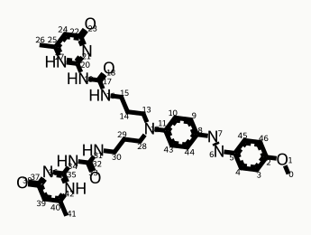 COc1ccc(/N=N/c2ccc(N(CCCNC(=O)Nc3nc(=O)cc(C)[nH]3)CCCNC(=O)Nc3nc(=O)cc(C)[nH]3)cc2)cc1